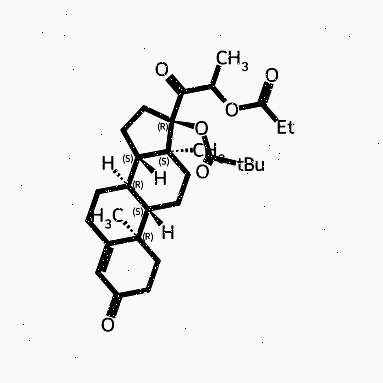 CCC(=O)OC(C)C(=O)[C@@]1(OC(=O)C(C)(C)C)CC[C@H]2[C@@H]3CCC4=CC(=O)CC[C@]4(C)[C@H]3CC[C@@]21C